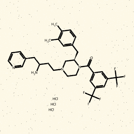 Cc1ccc(C[C@@H]2CN(CCC(N)Cc3cccnc3)CCN2C(=O)c2cc(C(F)(F)F)cc(C(F)(F)F)c2)cc1C.Cl.Cl.Cl